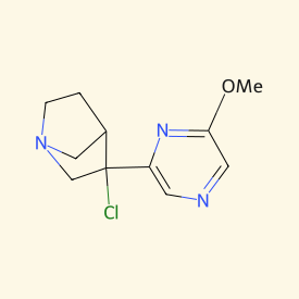 COc1cncc(C2(Cl)CN3CCC2C3)n1